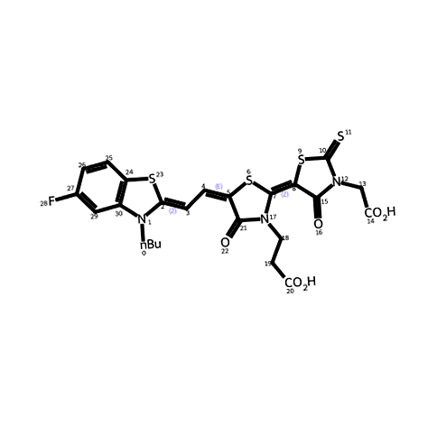 CCCCN1/C(=C/C=c2/s/c(=C3\SC(=S)N(CC(=O)O)C3=O)n(CCC(=O)O)c2=O)Sc2ccc(F)cc21